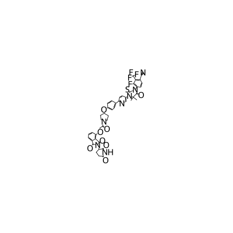 CC1(C)C(=O)N(c2ccc(C#N)c(C(F)(F)F)c2F)C(=S)N1c1ccc(-c2ccc(OC3CCN(C(=O)COc4cccc5c4C(=O)N(C4CCC(=O)NC4=O)C5=O)CC3)cc2)nc1